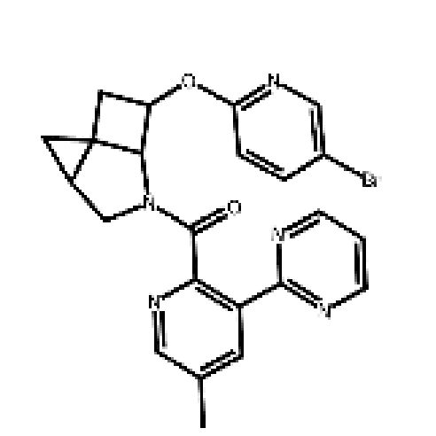 Cc1cnc(C(=O)N2CC3CC34CC(Oc3ccc(Br)cn3)C24)c(-c2ncccn2)c1